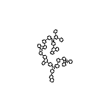 c1ccc(-c2cc(-c3ccccc3)cc(N(c3ccc(-c4cc5ccccc5c5ccccc45)cc3)c3cccc(-c4cccc(-c5cccc6c5c5ccccc5n6-c5cccc(-c6ccc7cc(-c8ccc(N(c9ccc(-c%10ccc%11ccccc%11c%10)cc9)c9cccc(-c%10cccc(-c%11cccc%12c%11c%11ccccc%11n%12-c%11ccccc%11)c%10)c9)cc8)c8ccccc8c7c6)c5)c4)c3)c2)cc1